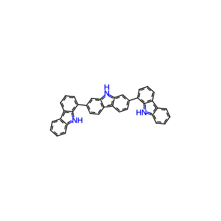 c1ccc2c(c1)[nH]c1c(-c3ccc4c(c3)[nH]c3cc(-c5cccc6c5[nH]c5ccccc56)ccc34)cccc12